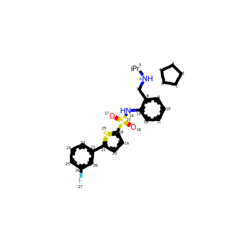 C1CCCC1.CC(C)NCc1ccccc1NS(=O)(=O)c1ccc(-c2cccc(F)c2)s1